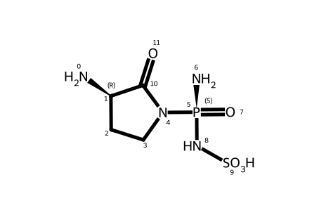 N[C@@H]1CCN([P@](N)(=O)NS(=O)(=O)O)C1=O